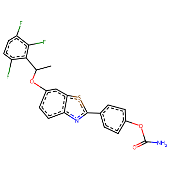 CC(Oc1ccc2nc(-c3ccc(OC(N)=O)cc3)sc2c1)c1c(F)ccc(F)c1F